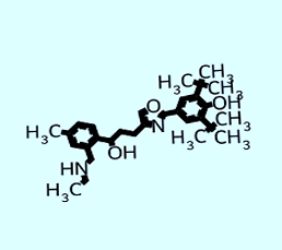 CCNCc1cc(C)ccc1C(O)CCc1coc(-c2cc(C(C)(C)C)c(O)c(C(C)(C)C)c2)n1